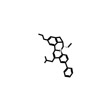 CCCc1cc2c3c(c1)C1C=C(CC(C)C)c4cc(-c5ccccc5)ccc4N1[C@@H](CC)C3C2